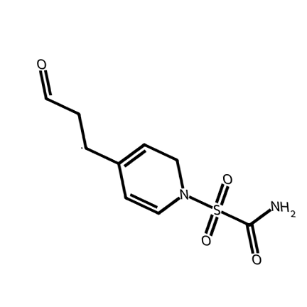 NC(=O)S(=O)(=O)N1C=CC([CH]CC=O)=CC1